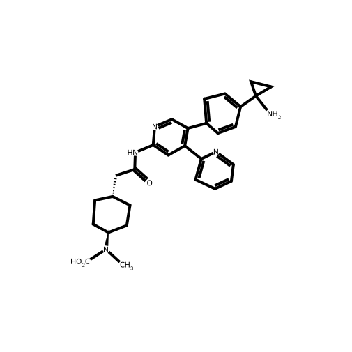 CN(C(=O)O)[C@H]1CC[C@H](CC(=O)Nc2cc(-c3ccccn3)c(-c3ccc(C4(N)CC4)cc3)cn2)CC1